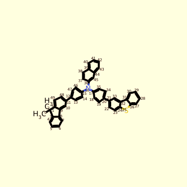 CC1(C)c2ccccc2-c2cc(-c3ccc(N(c4ccc(-c5ccc6sc7ccccc7c6c5)cc4)c4ccc5ccccc5c4)cc3)ccc21